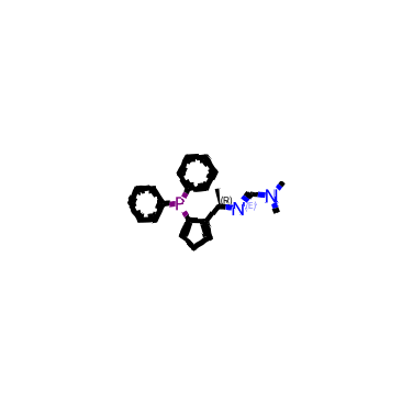 C[C@@H](/N=C/N(C)C)C1=CCC=C1P(c1ccccc1)c1ccccc1